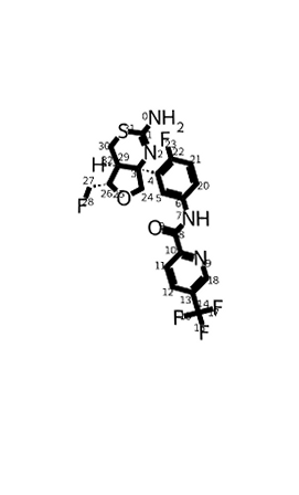 NC1=N[C@@]2(c3cc(NC(=O)c4ccc(C(F)(F)F)cn4)ccc3F)CO[C@H](CF)[C@H]2CS1